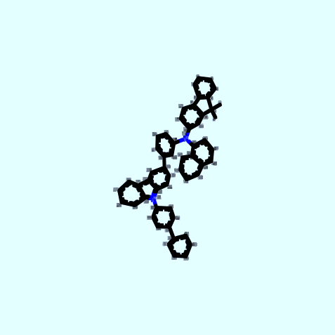 CC1(C)c2ccccc2-c2ccc(N(c3cccc(-c4ccc5c(c4)c4ccccc4n5-c4ccc(-c5ccccc5)cc4)c3)c3cccc4ccccc34)cc21